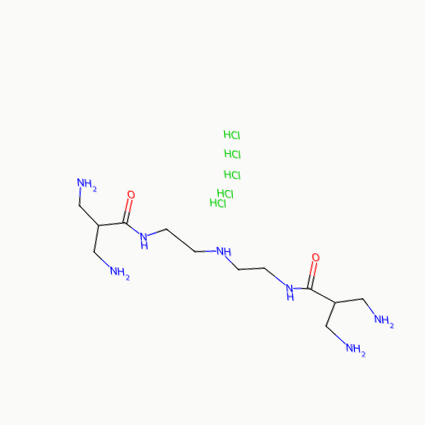 Cl.Cl.Cl.Cl.Cl.NCC(CN)C(=O)NCCNCCNC(=O)C(CN)CN